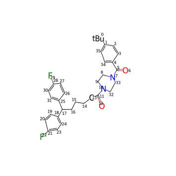 CC(C)(C)c1ccc(C(=O)N2CCN(C(=O)CCCCC(c3ccc(F)cc3)c3ccc(F)cc3)CC2)cc1